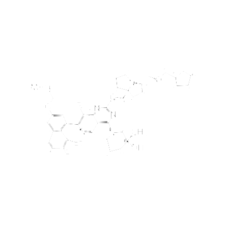 CCc1c(F)ccc2cc(OCOC)cc(-c3ncc4c(N5CCC[C@@](C)(O)C5)nc(OC[C@@]56CCCN5[C@H](COCC5CCCC5)CC6)nc4c3F)c12